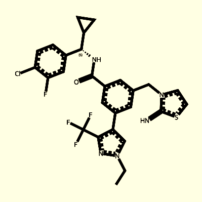 CCn1cc(-c2cc(Cn3ccsc3=N)cc(C(=O)N[C@H](c3ccc(Cl)c(F)c3)C3CC3)c2)c(C(F)(F)F)n1